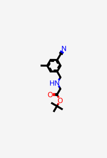 Cc1cc(C#N)cc(CNCC(=O)OC(C)(C)C)c1